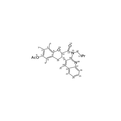 CC(=O)Oc1c(C)c(C)c2c(c1C)CCC(C(=O)N(CC(C)C)c1cc(C)c3ccccc3n1)O2